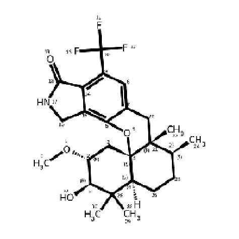 CO[C@@H]1C[C@@]23Oc4c(cc(C(F)(F)F)c5c4CNC5=O)C[C@]2(C)[C@@H](C)CC[C@H]3C(C)(C)[C@H]1O